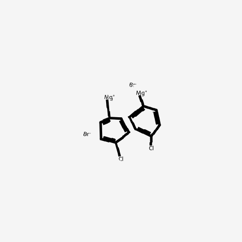 [Br-].[Br-].[Mg+][c]1ccc(Cl)cc1.[Mg+][c]1ccc(Cl)cc1